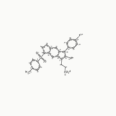 Cc1ccc(S(=O)(=O)n2ncc3cc4c(cc32)c(CCC(=O)O)c(C(C)C)n4-c2ccc(F)cc2)cc1